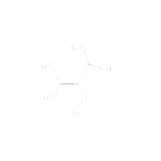 CC(C)C(P=O)C(C)C